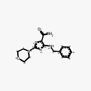 NC(=O)c1sc(N2CCOCC2)nc1NCc1ccccc1